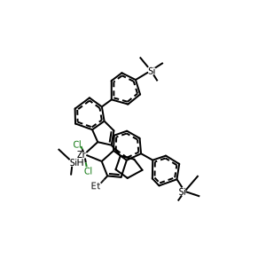 CCC1=Cc2c(-c3ccc([Si](C)(C)C)cc3)cccc2[CH]1[Zr]([Cl])([Cl])([CH]1C(C2CCCC2)=Cc2c(-c3ccc([Si](C)(C)C)cc3)cccc21)[SiH](C)C